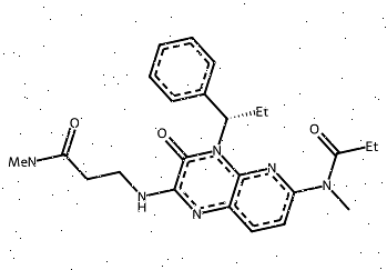 CCC(=O)N(C)c1ccc2nc(NCCC(=O)NC)c(=O)n([C@@H](CC)c3ccccc3)c2n1